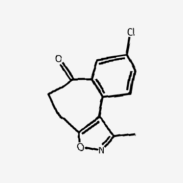 Cc1noc2c1-c1ccc(Cl)cc1C(=O)CC2